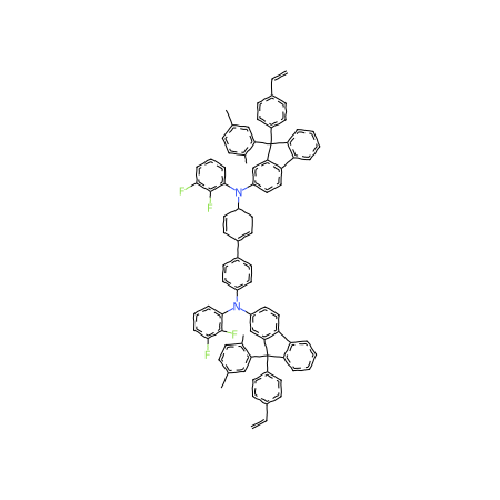 C=Cc1ccc(C2(c3cc(C)ccc3C)c3ccccc3-c3ccc(N(c4ccc(C5=CCC(N(c6ccc7c(c6)C(c6ccc(C=C)cc6)(c6cc(C)ccc6C)c6ccccc6-7)c6cccc(F)c6F)C=C5)cc4)c4cccc(F)c4F)cc32)cc1